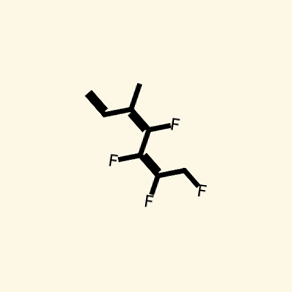 C=C/C(C)=C(F)\C(F)=C(\F)CF